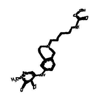 Cn1ncc(Nc2ccc3c(c2)CCN(CCCCCNC(=O)OC(C)(C)C)C3)c(Cl)c1=O